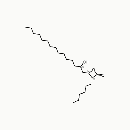 CCCCCCCCCCCCC[C@@H](O)C[C@H]1OC(=O)[C@@H]1CCCCCC